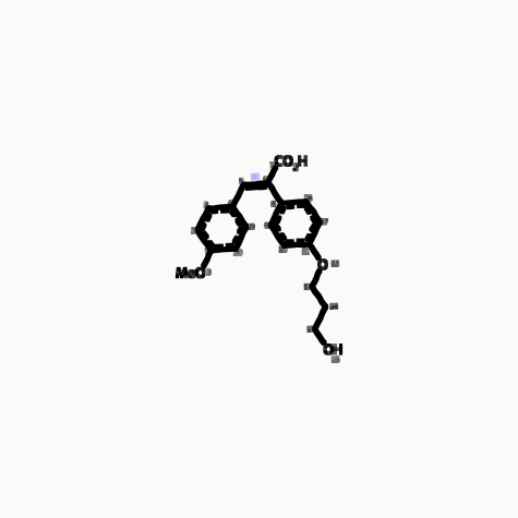 COc1ccc(/C=C(/C(=O)O)c2ccc(OCCCO)cc2)cc1